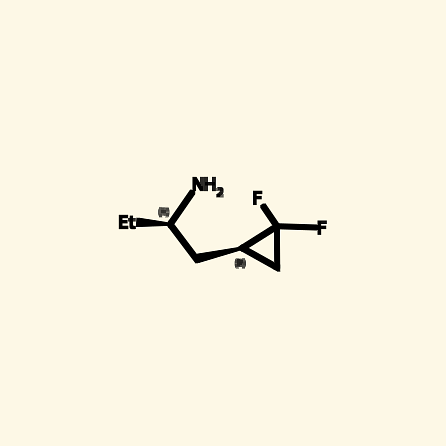 CC[C@@H](N)C[C@@H]1CC1(F)F